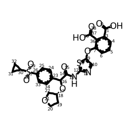 O=C(O)c1cccc(Oc2cnc(NC(=O)C(O[C@@H]3CCOC3)c3ccc(S(=O)(=O)C4CC4)cc3)s2)c1C(=O)O